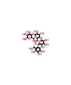 CC1O[C@H](OC2C(O)C(O)[C@@H](OC3C(O)C(O)[C@H](O)O[C@@H]3CO)O[C@@H]2CO)C(O)C(O)C1N[C@H]1C=C(CO)[C@H](O)[C@H](O)[C@H]1O